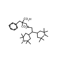 CN1C(C)(C)CC(C(CCCC(Cc2ccccc2)(C(=O)O)C(=O)O)C2CC(C)(C)N(C)C(C)(C)C2)CC1(C)C